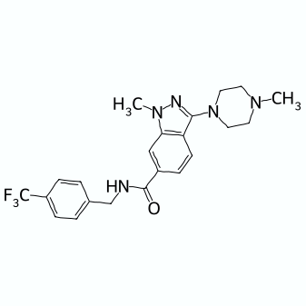 CN1CCN(c2nn(C)c3cc(C(=O)NCc4ccc(C(F)(F)F)cc4)ccc23)CC1